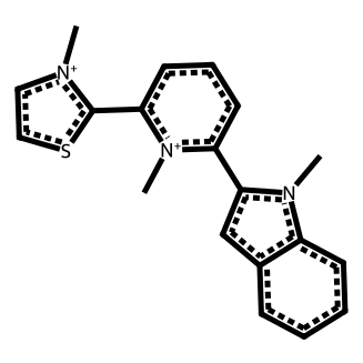 Cn1c(-c2cccc(-c3scc[n+]3C)[n+]2C)cc2ccccc21